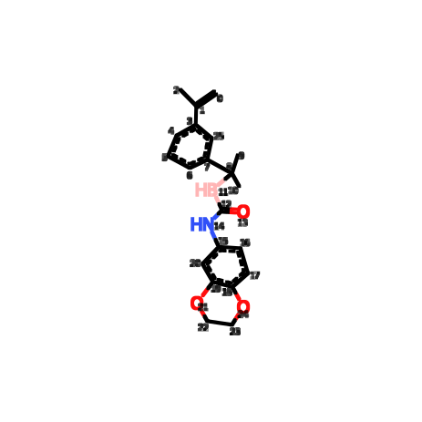 C=C(C)c1cccc(C(C)(C)BC(=O)Nc2ccc3c(c2)OCCO3)c1